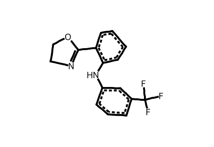 FC(F)(F)c1cccc(Nc2ccccc2C2=NCCO2)c1